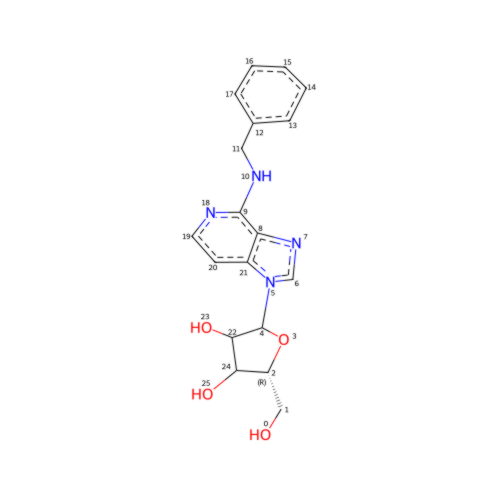 OC[C@H]1OC(n2cnc3c(NCc4ccccc4)nccc32)C(O)C1O